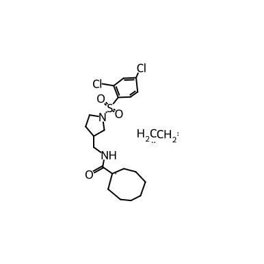 O=C(NCC1CCN(S(=O)(=O)c2ccc(Cl)cc2Cl)C1)[C]1CCCCCCC1.[CH2].[CH2]